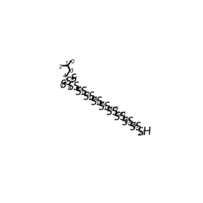 CC(C)CCS(=S)(=S)SSSSSSSSSSSSSSSSSSS